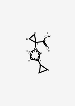 O=C(O)C1(n2cc(C3CC3)cn2)CC1